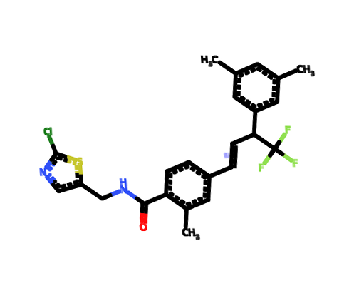 Cc1cc(C)cc(C(/C=C/c2ccc(C(=O)NCc3cnc(Cl)s3)c(C)c2)C(F)(F)F)c1